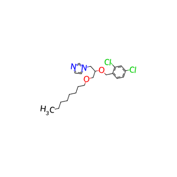 CCCCCCCCOCC(Cn1ccnc1)OCc1ccc(Cl)cc1Cl